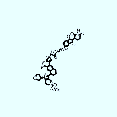 CNC(=O)N1CCc2c(c(C3CCCc4cc(-c5cnn(CC(=O)NCCNc6ccc7c(c6)C(=O)C(C6CCC(=O)NC6=O)C7=O)c5)c(C(F)F)cc43)nn2C2CCOCC2)C1